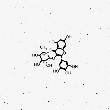 C[C@@H]1OC(Oc2c(-c3cc(O)c(O)c(O)c3)oc3cc(O)cc(O)c3c2=O)[C@H](O)C(O)C1O